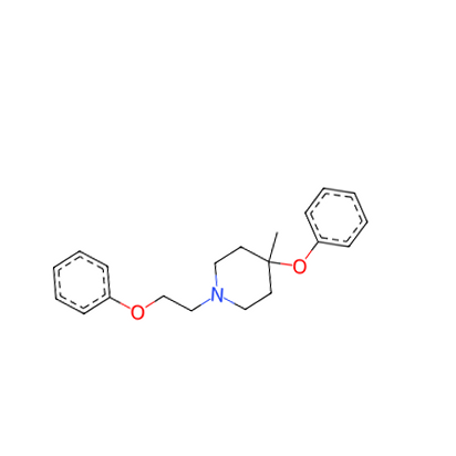 CC1(Oc2ccccc2)CCN(CCOc2ccccc2)CC1